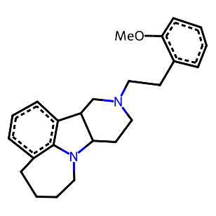 COc1ccccc1CCN1CCC2C(C1)c1cccc3c1N2CCCC3